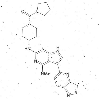 CNc1nc(N[C@H]2CC[C@@H](C(=O)N3CCCC3)CC2)nc2[nH]cc(-c3ccc4nccn4n3)c12